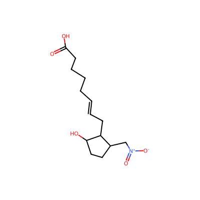 O=C(O)CCCCC=CCC1C(O)CCC1C[N+](=O)[O-]